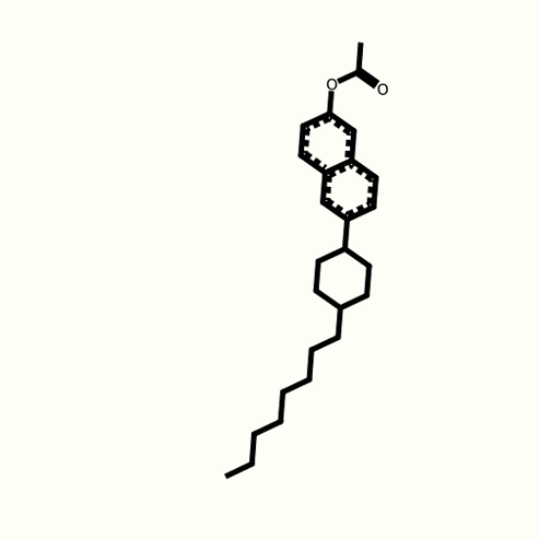 CCCCCCCCC1CCC(c2ccc3cc(OC(C)=O)ccc3c2)CC1